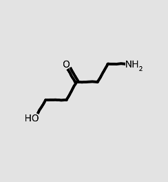 NCCC(=O)CCO